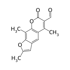 Cc1cc2cc3c(C)c(C=O)c(=O)oc3c(C)c2o1